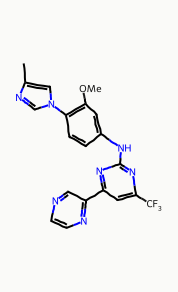 COc1cc(Nc2nc(-c3cnccn3)cc(C(F)(F)F)n2)ccc1-n1cnc(C)c1